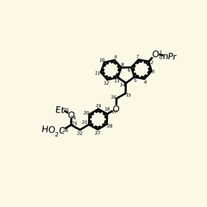 CCCOc1ccc2c(c1)-c1ccccc1C2CCOc1ccc(CC(OCC)C(=O)O)cc1